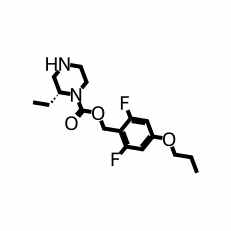 CCCOc1cc(F)c(COC(=O)N2CCNC[C@H]2CC)c(F)c1